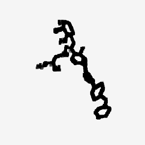 C[C@@H](O)CNC[C@H](Cc1nc[nH]c(=O)c1O)c1ccc(C#Cc2ccc(CN3CCOCC3)cc2)cc1F